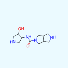 O=C(NC1CNCC1O)N1CC2CNCC2C1